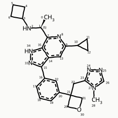 C[C@H](NC1CCC1)c1nc(C2CC2)cc2c(-c3cccc(C4(Cc5nncn5C)COC4)c3)n[nH]c12